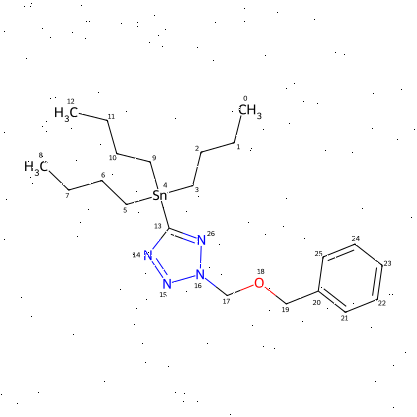 CCC[CH2][Sn]([CH2]CCC)([CH2]CCC)[c]1nnn(COCc2ccccc2)n1